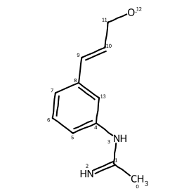 CC(=N)Nc1cccc(/C=C/C[O])c1